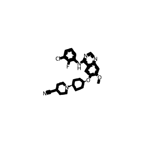 COc1cc2ncnc(Nc3cccc(Cl)c3F)c2cc1O[C@H]1CC[C@H](N2CCC(C#N)CC2)CC1